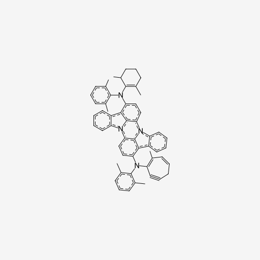 CC1=C(N(c2c(C)cccc2C)c2ccc3c4c2c2ccccc2n4c2ccc(N(C4=C(C)CCCC4C)c4c(C)cccc4C)c4c5ccccc5n3c42)C#CCC=C1